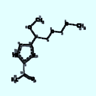 COCOCC(OC)c1c[nH]c(C(C)=O)n1